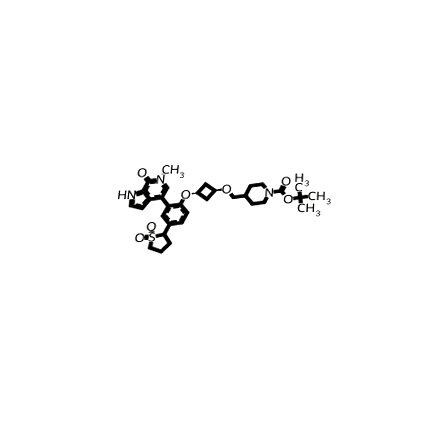 Cn1cc(-c2cc(C3CCCS3(=O)=O)ccc2O[C@H]2C[C@H](OCC3CCN(C(=O)OC(C)(C)C)CC3)C2)c2cc[nH]c2c1=O